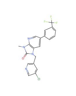 Cn1c(=O)n(Cc2cncc(Cl)c2)c2cc(-c3cccc(C(F)(F)F)c3)cnc21